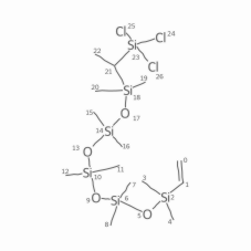 C=C[Si](C)(C)O[Si](C)(C)O[Si](C)(C)O[Si](C)(C)O[Si](C)(C)C(C)[Si](Cl)(Cl)Cl